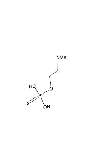 CNCCOP(O)(O)=S